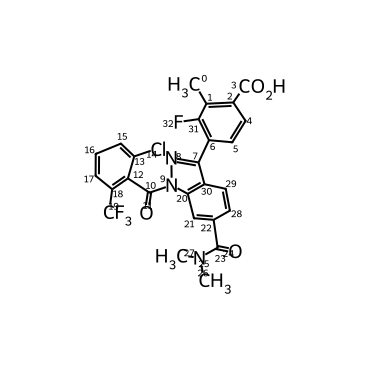 Cc1c(C(=O)O)ccc(-c2nn(C(=O)c3c(Cl)cccc3C(F)(F)F)c3cc(C(=O)N(C)C)ccc23)c1F